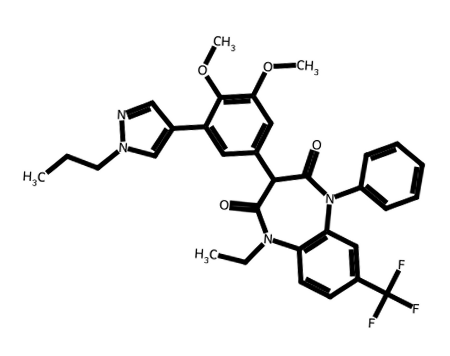 CCCn1cc(-c2cc(C3C(=O)N(CC)c4ccc(C(F)(F)F)cc4N(c4ccccc4)C3=O)cc(OC)c2OC)cn1